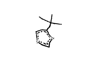 CC(C)(C)c1cscn1